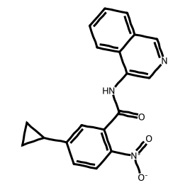 O=C(Nc1cncc2ccccc12)c1cc(C2CC2)ccc1[N+](=O)[O-]